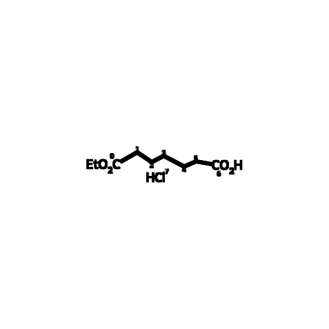 CCOC(=O)CCCCCC(=O)O.Cl